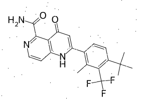 Cc1c(-c2cc(=O)c3c(C(N)=O)nccc3[nH]2)ccc(C(C)(C)C)c1C(F)(F)F